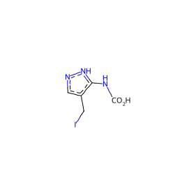 O=C(O)Nc1[nH]ncc1CI